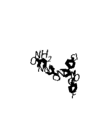 CN(C(=O)Oc1ccc(F)cc1)[C@@H]1CN(C(=O)C2CCN(c3ccc(C(N)=O)cn3)CC2)C[C@H]1c1ccc(Cl)cc1